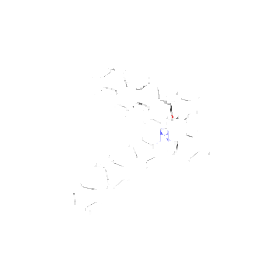 c1ccc(-c2ccc(-c3ccc(N(c4ccc5ccc6c7ccccc7ccc6c5c4)c4ccccc4-c4ccccc4)cc3)cc2)cc1